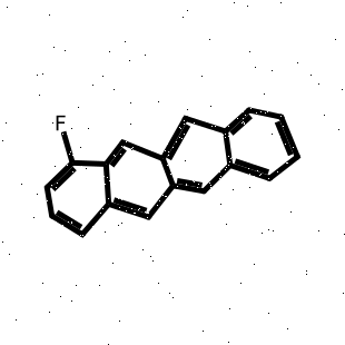 Fc1cccc2cc3cc4ccccc4cc3cc12